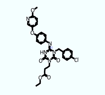 CCOC(=O)CCn1c(=O)[nH]/c(=N\c2ccc(Oc3ccc(OC)nc3)cc2)n(Cc2ccc(Cl)cc2)c1=O